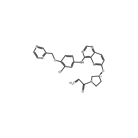 C=CC(=O)N1CC[C@H](Oc2ccc3ncnc(Nc4ccc(OCc5cnccn5)c(Cl)c4)c3n2)C1